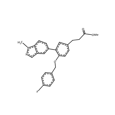 COC(=O)CCc1ccc(OCc2ccc(F)cc2)c(-c2ccc3c(cnn3C)c2)c1